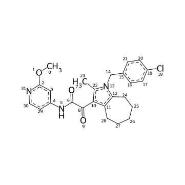 COc1cc(NC(=O)C(=O)c2c3c(n(Cc4ccc(Cl)cc4)c2C)CCCCC3)ccn1